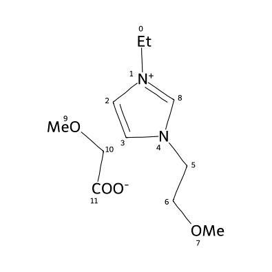 CC[n+]1ccn(CCOC)c1.COCC(=O)[O-]